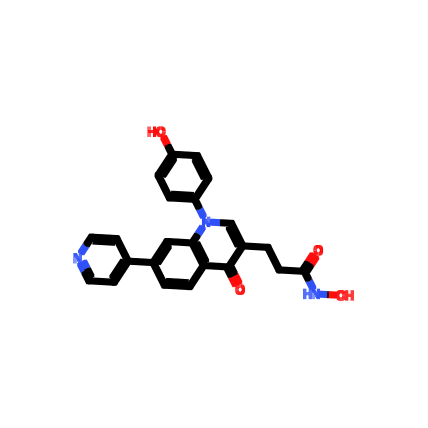 O=C(CCc1cn(-c2ccc(O)cc2)c2cc(-c3ccncc3)ccc2c1=O)NO